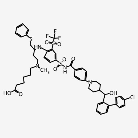 CN(CCCCCC(=O)O)CCC(CSc1ccccc1)Nc1ccc(S(=O)(=O)NC(=O)c2ccc(N3CCC(C(O)c4ccccc4-c4ccc(Cl)cc4)CC3)cc2)cc1S(=O)(=O)C(F)(F)F